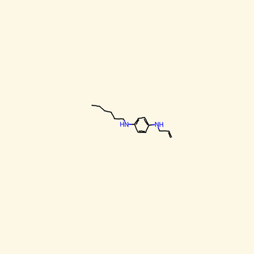 C=CCNc1ccc(NCCCCCC)cc1